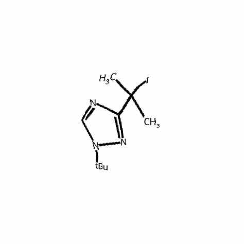 CC(C)(I)c1ncn(C(C)(C)C)n1